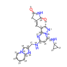 O=C1CC(=Cc2cnn3c(NC4CC4)cc(NCc4cn5ccccc5n4)nc23)C(=O)N1